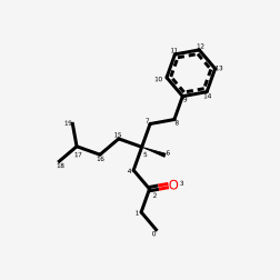 CCC(=O)C[C@@](C)(CCc1ccccc1)CCC(C)C